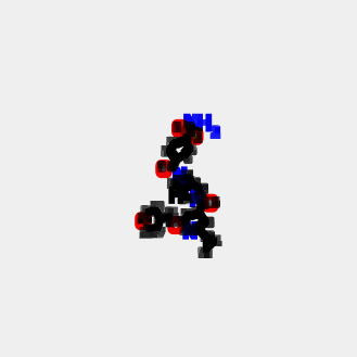 NS(=O)(=O)c1ccc(C(=O)N2CC3CN(C(=O)c4cc(OCC5CCOCC5)nc(C5CC5)c4)C[C@@H]3C2)cc1